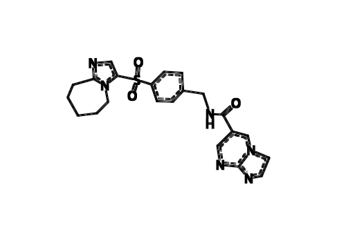 O=C(NCc1ccc(S(=O)(=O)c2cnc3n2CCCCC3)cc1)c1cnc2nccn2c1